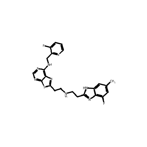 Cc1cc(F)c2nc(CCNCCc3nc4c(NCc5ncccc5F)ncnc4s3)[nH]c2c1